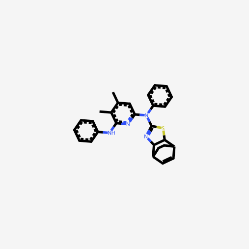 Cc1cc(N(C2=NC3C4C=CC(CC4)C3S2)c2ccccc2)nc(Nc2ccccc2)c1C